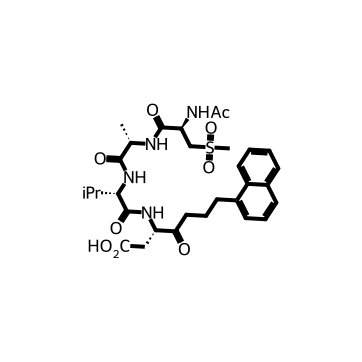 CC(=O)N[C@@H](CS(C)(=O)=O)C(=O)N[C@@H](C)C(=O)N[C@H](C(=O)N[C@@H](CC(=O)O)C(=O)CCCc1cccc2ccccc12)C(C)C